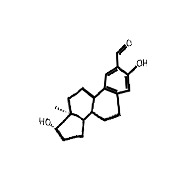 C[C@]12CCC3c4cc(C=O)c(O)cc4CCC3C1CC[C@@H]2O